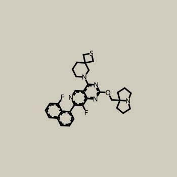 Fc1c(-c2cccc3cccc(F)c23)ncc2c(N3CCCC4(CSC4)C3)nc(OCC34CCCN3CCC4)nc12